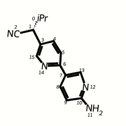 CC(C)[C@@H](C#N)c1ccc(-c2ccc(N)nc2)nc1